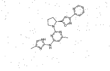 Cc1cc(Nc2nc(C)c[nH]2)nc(N2CCC[C@H]2c2cc(-c3ccccn3)no2)n1